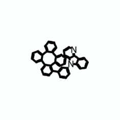 c1cc(-c2cccc3c2-c2ccccc2-c2ccccc2-c2ccccc2-3)cc(-n2c3ccccc3c3ncccc32)c1